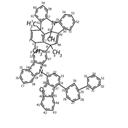 CC1C=CC2(C)C3=C1C(C)(c1ccc4c5ccccc5n(-c5ccc(-c6cccc(-c7ccccc7)c6)c6c5oc5ccccc56)c4c1)C=C1c4ccccc4N(c4ccccc42)C13C